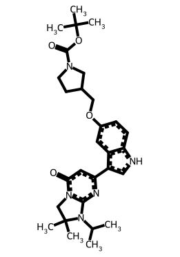 CC(C)N1c2nc(-c3c[nH]c4ccc(OCC5CCN(C(=O)OC(C)(C)C)C5)cc34)cc(=O)n2CC1(C)C